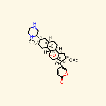 CC(=O)O[C@H]1C[C@]2(O)[C@@H]3CC[C@@H]4C[C@@H](C5CNCCN5C(=O)O)CC[C@]4(C)[C@H]3CC[C@]2(C)[C@H]1c1ccc(=O)oc1